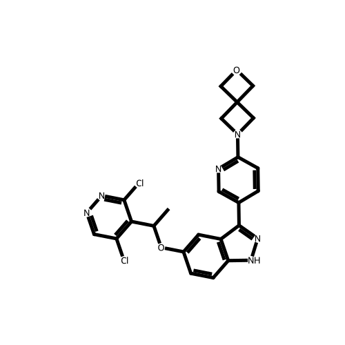 CC(Oc1ccc2[nH]nc(-c3ccc(N4CC5(COC5)C4)nc3)c2c1)c1c(Cl)cnnc1Cl